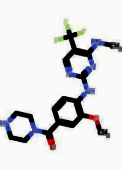 CNc1nc(Nc2ccc(C(=O)N3CCNCC3)cc2OC)ncc1C(F)(F)F